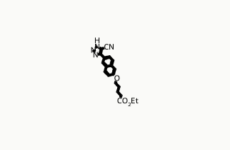 CCOC(=O)CCCCOc1ccc2cc(-c3nn[nH]c3C#N)ccc2c1